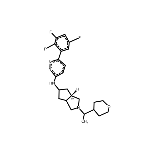 CC(C1CCOCC1)N1CC2CC(Nc3ccc(-c4cc(F)cc(F)c4F)nn3)C[C@@H]2C1